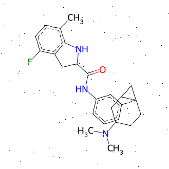 Cc1ccc(F)c2c1NC(C(=O)Nc1cccc(C34CCC(N(C)C)CC3C4)c1)C2